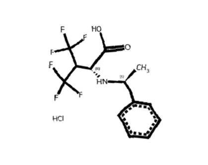 C[C@H](N[C@@H](C(=O)O)C(C(F)(F)F)C(F)(F)F)c1ccccc1.Cl